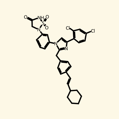 O=C1CN(c2cccc(-n3cc(-c4ccc(Cl)cc4Cl)nc3Cc3ccc(C=CC4CCCCC4)cc3)c2)S(=O)(=O)N1